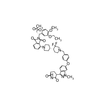 CCOc1cc([C@@H](CS(C)(=O)=O)N2C(=O)c3cccc(N4CCC([C@H]5CCN(Cc6ccc(Oc7ccc8c(C9CCC(=O)NC9=O)nn(C)c8c7)cc6)CC5(F)F)CC4)c3C2=O)ccc1OC